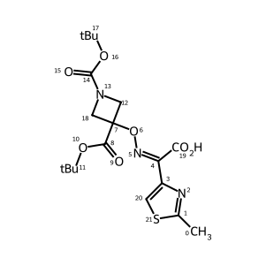 Cc1nc(/C(=N/OC2(C(=O)OC(C)(C)C)CN(C(=O)OC(C)(C)C)C2)C(=O)O)cs1